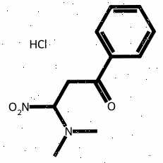 CN(C)C(CC(=O)c1ccccc1)[N+](=O)[O-].Cl